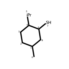 CC1CCC(C(C)C)C(S)C1